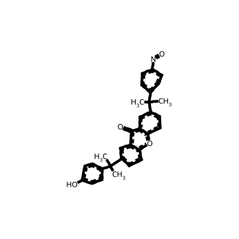 CC(C)(c1ccc(O)cc1)c1ccc2oc3ccc(C(C)(C)c4ccc(N=O)cc4)cc3c(=O)c2c1